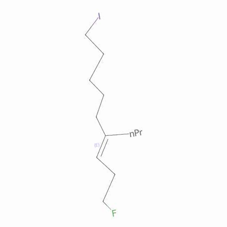 CCC/C(=C\CCF)CCCCCI